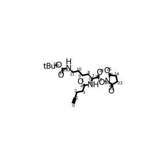 C#CCCC(=O)N[C@@H](CCCCNC(=O)OC(C)(C)C)C(=O)ON1C(=O)CCC1=O